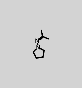 CC(C)=NN1CCCC1